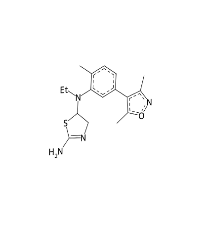 CCN(c1cc(-c2c(C)noc2C)ccc1C)C1CN=C(N)S1